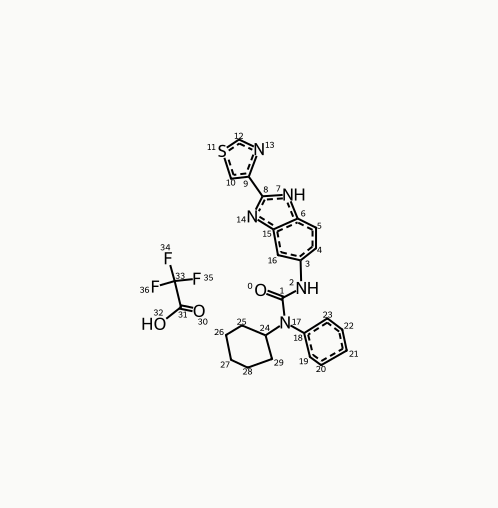 O=C(Nc1ccc2[nH]c(-c3cscn3)nc2c1)N(c1ccccc1)C1CCCCC1.O=C(O)C(F)(F)F